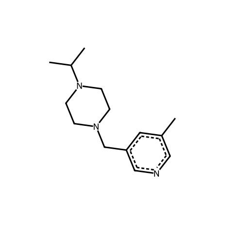 Cc1cncc(CN2CCN(C(C)C)CC2)c1